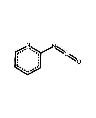 O=C=Nc1ccccn1